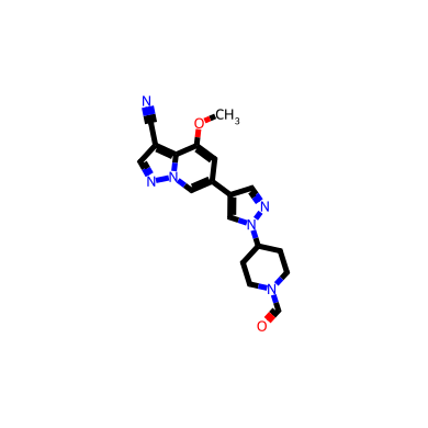 COc1cc(-c2cnn(C3CCN(C=O)CC3)c2)cn2ncc(C#N)c12